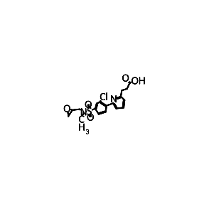 CN(CC1CO1)S(=O)(=O)c1ccc(-c2cccc(CCC(=O)O)n2)c(Cl)c1